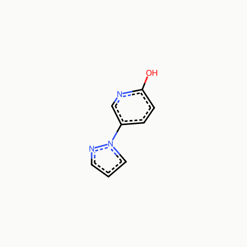 Oc1ccc(-n2cccn2)cn1